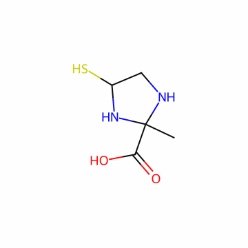 CC1(C(=O)O)NCC(S)N1